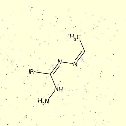 C/C=N\N=C(/NN)C(C)C